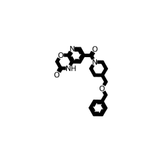 O=C1COc2ncc(C(=O)N3CCC(COCc4ccccc4)CC3)cc2N1